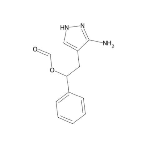 Nc1n[nH]cc1CC(OC=O)c1ccccc1